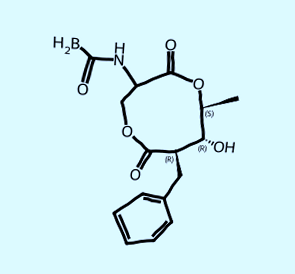 BC(=O)NC1COC(=O)[C@H](Cc2ccccc2)[C@@H](O)[C@H](C)OC1=O